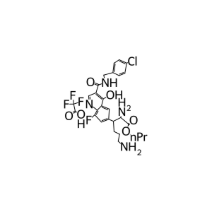 CCCOC(=O)C(N)C(CCCN)c1cc(F)c2ncc(C(=O)NCc3ccc(Cl)cc3)c(O)c2c1.O=C(O)C(F)(F)F